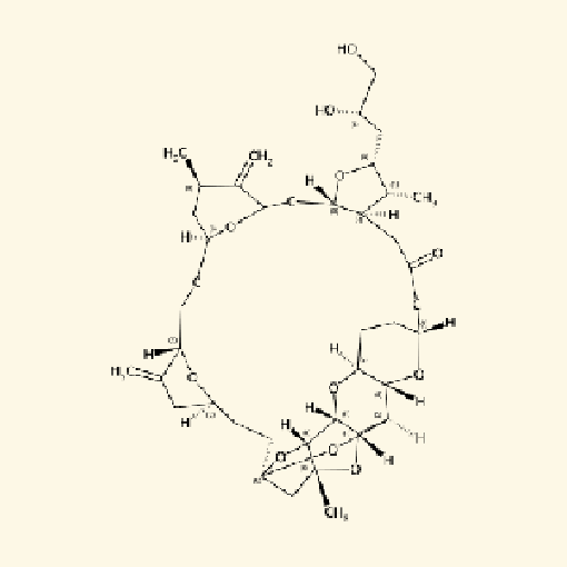 C=C1C2C[C@@H]3O[C@H](C[C@H](O)CO)[C@H](C)[C@H]3CC(=O)C[C@H]3CC[C@@H]4O[C@@H]5[C@H]6O[C@]7(C)C[C@](CC[C@H]8CC(=C)[C@H](CC[C@@H](C[C@H]1C)O2)O8)(O[C@H]6[C@H]4O3)O[C@H]57